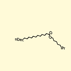 CCCCCCCCCCCCCCCCCCCCCC(=O)OCCCCCC(C)C